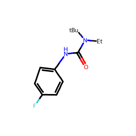 CCN(C(=O)Nc1ccc(F)cc1)C(C)(C)C